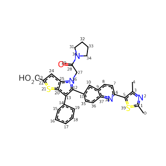 Cc1nc(C)c(-c2ccc3cc(-c4c(-c5ccccc5)c5sc(C(=O)O)cc5n4CC(=O)N4CCCC4)ccc3n2)s1